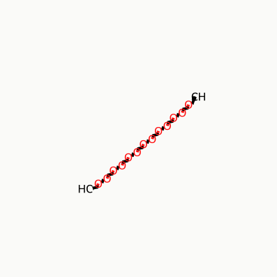 C#CCOCCOCCOCCOCCOCCOCCOCCOCCOCCOCCOCCOCCOCC#C